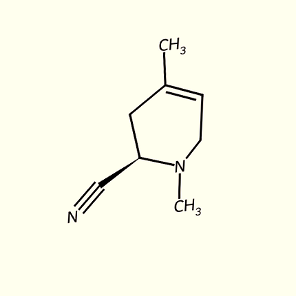 CC1=CCN(C)[C@@H](C#N)C1